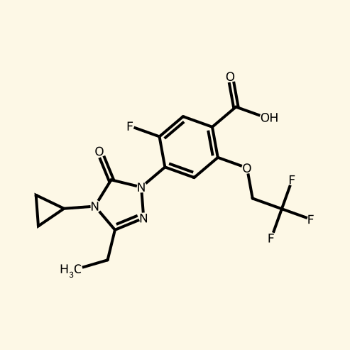 CCc1nn(-c2cc(OCC(F)(F)F)c(C(=O)O)cc2F)c(=O)n1C1CC1